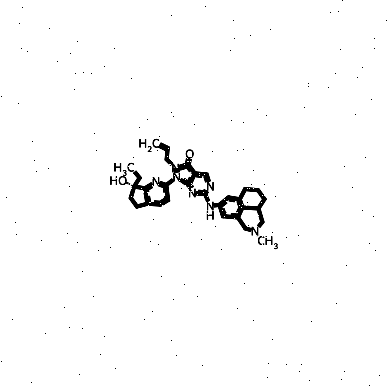 C=CCn1c(=O)c2cnc(Nc3cc4c5c(c3)CN(C)CC5CCC4)nc2n1-c1ccc2c(n1)[C@](O)(CC)CC2